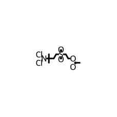 CC(=O)OCCS(=O)(=O)CCC(C)(C)N(Cl)Cl